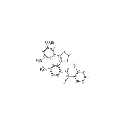 CCOC(=O)c1cc(N)cc(C2=C(c3cc(C(F)(F)F)ccc3OC(F)c3ccccc3F)CCC2)c1